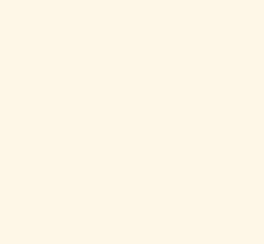 CCCCc1cccc2c1-c1ccccc1/C2=C\COc1ccc(CC(OCC)C(=O)O)cc1